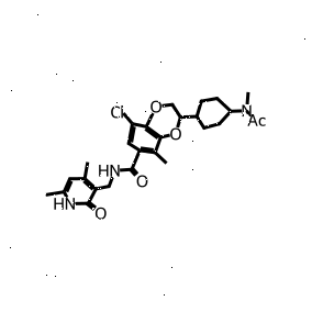 CC(=O)N(C)C1CCC(C2COc3c(Cl)cc(C(=O)NCc4c(C)cc(C)[nH]c4=O)c(C)c3O2)CC1